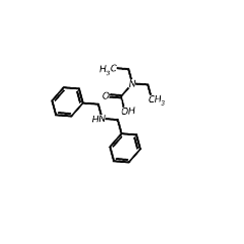 CCN(CC)C(=O)O.c1ccc(CNCc2ccccc2)cc1